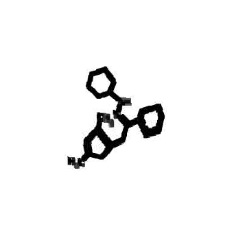 CC1=CC(C)=C(CC(=NNC2CCCCC2)c2ccccc2)C1